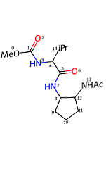 COC(=O)NC(C(=O)NC1CCCC1NC(C)=O)C(C)C